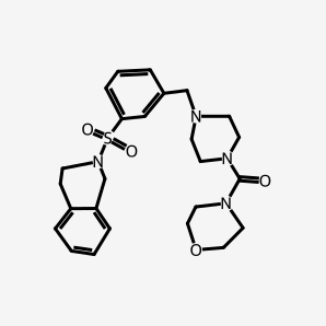 O=C(N1CCOCC1)N1CCN(Cc2cccc(S(=O)(=O)N3CCc4ccccc4C3)c2)CC1